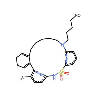 O=NCCCCN1CCCCCC2=CCCC=C2c2nc(ccc2C(F)(F)F)NS(=O)(=O)c2cccc1n2